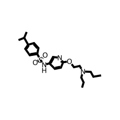 CCCN(CCC)CCOc1ccc(NS(=O)(=O)c2ccc(C(C)C)cc2)cn1